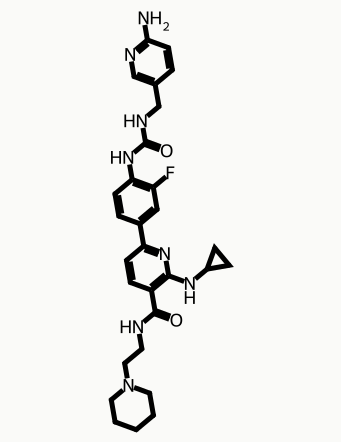 Nc1ccc(CNC(=O)Nc2ccc(-c3ccc(C(=O)NCCN4CCCCC4)c(NC4CC4)n3)cc2F)cn1